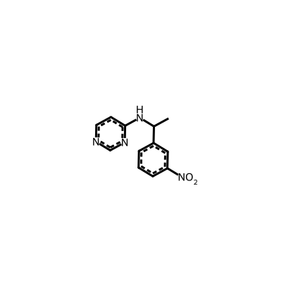 CC(Nc1ccncn1)c1cccc([N+](=O)[O-])c1